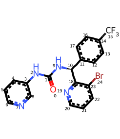 O=C(Nc1cccnc1)N[C@@H](c1ccc(C(F)(F)F)cc1)c1ncccc1Br